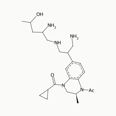 CC(=O)N1c2ccc(C(CN)CNCC(N)CC(C)O)cc2N(C(=O)C2CC2)C[C@@H]1C